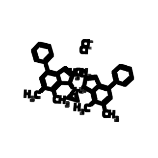 CC1=Cc2c(-c3ccccc3)cc(C)c(C)c2[CH]1[Zr+2]1([CH]2C(C)=Cc3c(-c4ccccc4)cc(C)c(C)c32)[CH2][CH2]1.[Cl-].[Cl-]